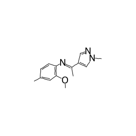 COc1cc(C)ccc1N=C(C)c1cnn(C)c1